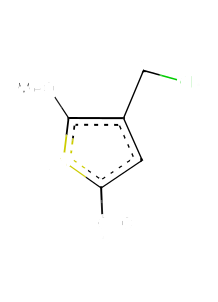 COc1sc(C=O)cc1CCl